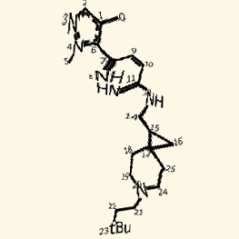 Cc1cnn(C)c1C(=N)/C=C\C(=N)NCC1CC12CCN(CCC(C)(C)C)CC2